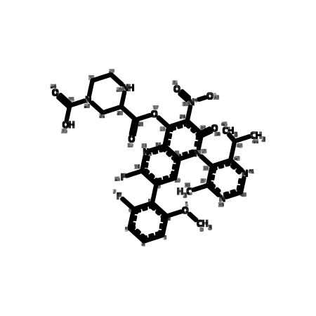 COc1cccc(F)c1-c1cc2c(nc1F)c(OC(=O)C1CN(C(=O)O)CCN1)c([N+](=O)[O-])c(=O)n2-c1c(C)ncnc1C(C)C